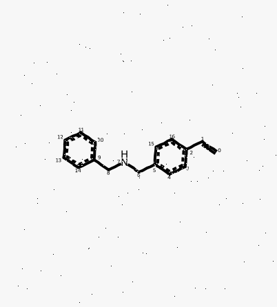 C=Cc1ccc(CNCc2ccccc2)cc1